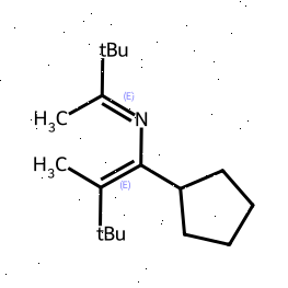 C/C(=N\C(=C(/C)C(C)(C)C)C1CCCC1)C(C)(C)C